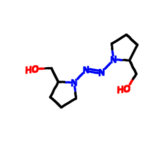 OCC1CCCN1N=NN1CCCC1CO